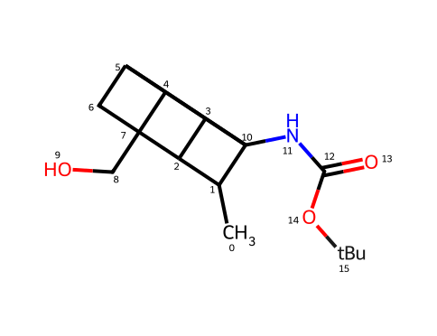 CC1C2C3C4C(CC24CO)C13NC(=O)OC(C)(C)C